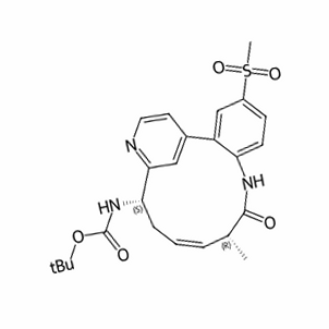 C[C@@H]1C=CC[C@H](NC(=O)OC(C)(C)C)c2cc(ccn2)-c2cc(S(C)(=O)=O)ccc2NC1=O